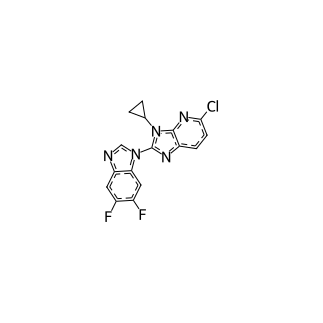 Fc1cc2ncn(-c3nc4ccc(Cl)nc4n3C3CC3)c2cc1F